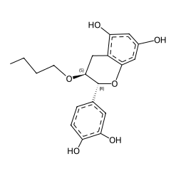 CCCCO[C@H]1Cc2c(O)cc(O)cc2O[C@@H]1c1ccc(O)c(O)c1